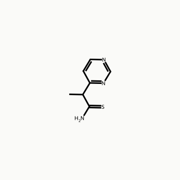 CC(C(N)=S)c1ccncn1